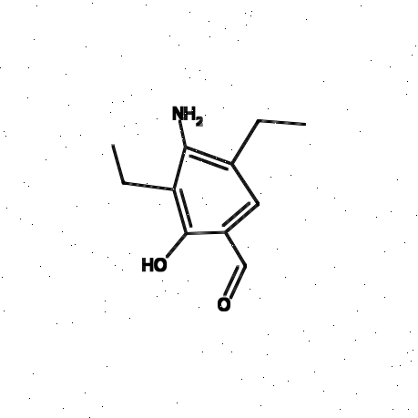 CCc1cc(C=O)c(O)c(CC)c1N